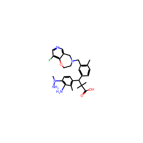 Cc1ccc(C(c2ccc(N(C)N)c(N)c2C)C(C)(C)C(=O)O)cc1CN1CCOc2c(F)cncc2C1